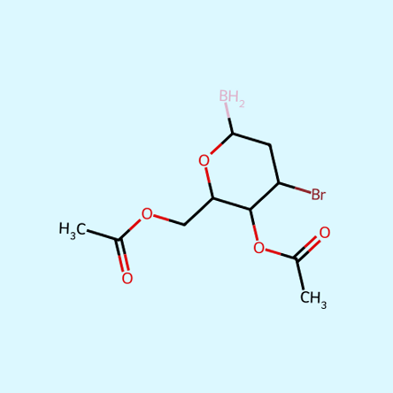 BC1CC(Br)C(OC(C)=O)C(COC(C)=O)O1